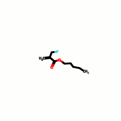 C=C(CF)C(=O)OCCCCC